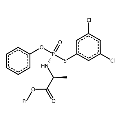 CC(C)OC(=O)[C@H](C)N[P@@](=O)(Oc1ccccc1)Sc1cc(Cl)cc(Cl)c1